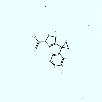 O=C(O)[C@H]1C=C(C2(c3ccccc3)CC2)CC1